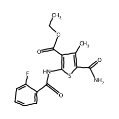 CCOC(=O)c1c(NC(=O)c2ccccc2F)sc(C(N)=O)c1C